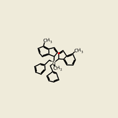 [CH2]=[Zr]([CH2]c1ccccc1)([CH2]c1ccccc1)([CH]1C=Cc2c(C)cccc21)[CH]1C=Cc2c(C)cccc21